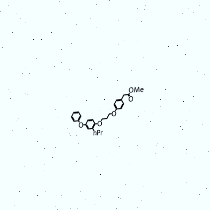 CCCc1cc(Oc2ccccc2)ccc1OCCCOc1ccc(CC(=O)OC)cc1